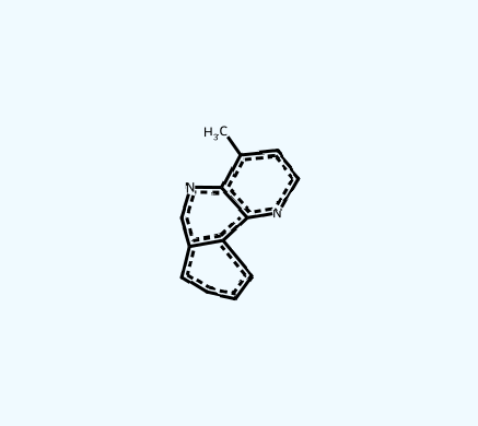 Cc1ccnc2c1ncc1ccccc12